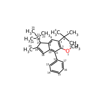 COc1c(C(C)(C)C)cc2c(c1-c1ccccc1)C=C(C)C2[Si](C)(C)C